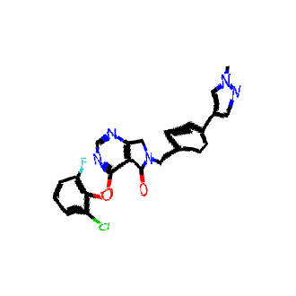 Cn1cc(-c2ccc(CN3Cc4ncnc(Oc5c(F)cccc5Cl)c4C3=O)cc2)cn1